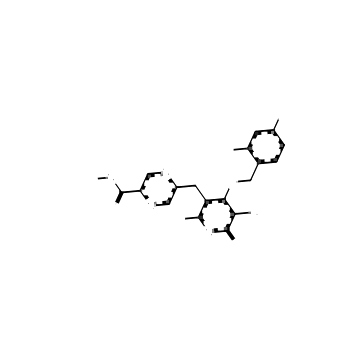 CNC(=O)c1cnc(Cc2c(C)[nH]c(=O)c(Br)c2OCc2ccc(F)cc2F)cn1